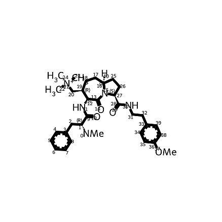 CN[C@H](Cc1ccccc1)C(=O)N[C@@H]1C(=O)N2[C@@H](CC[C@@H]1C[N+](C)(C)C)CC[C@H]2C(=O)NCCc1ccc(OC)cc1